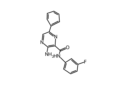 Nc1ncc(-c2ccccc2)nc1C(=O)Nc1cccc(F)c1